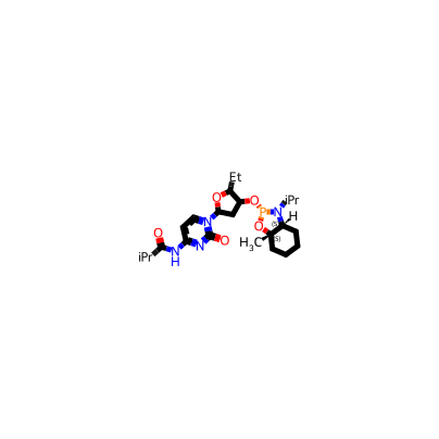 CCC1OC(n2ccc(NC(=O)C(C)C)nc2=O)CC1OP1O[C@@]2(C)CCCC[C@@H]2N1C(C)C